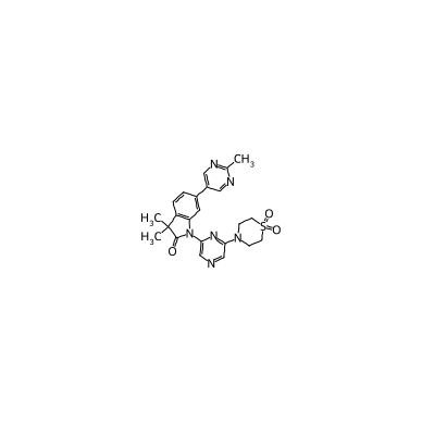 Cc1ncc(-c2ccc3c(c2)N(c2cncc(N4CCS(=O)(=O)CC4)n2)C(=O)C3(C)C)cn1